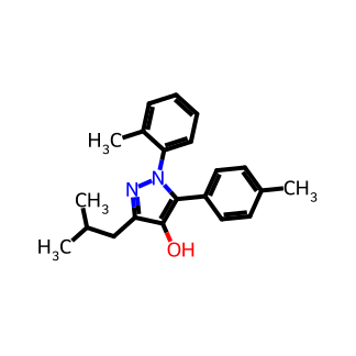 Cc1ccc(-c2c(O)c(CC(C)C)nn2-c2ccccc2C)cc1